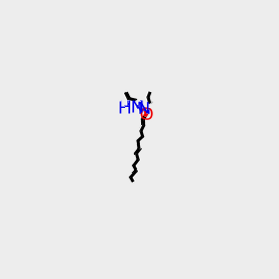 CCCCCCCCCCCCON(CCC)NCCC